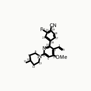 C=Cc1c(OC)cc(N2CCC(C)CC2)nc1-c1ccc(C#N)c(F)c1